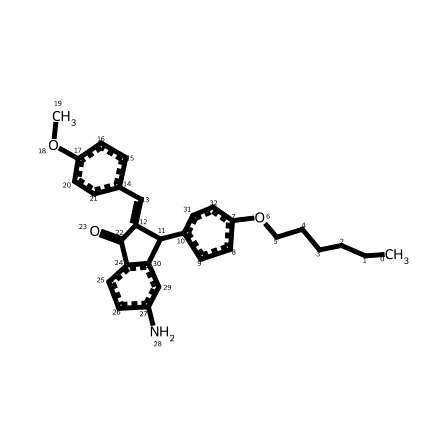 CCCCCCOc1ccc(C2C(=Cc3ccc(OC)cc3)C(=O)c3ccc(N)cc32)cc1